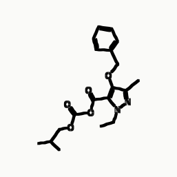 CCn1nc(C)c(OCc2ccccc2)c1C(=O)OC(=O)OCC(C)C